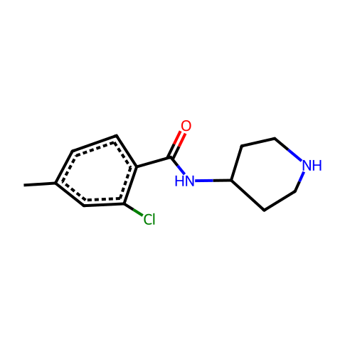 Cc1ccc(C(=O)NC2CCNCC2)c(Cl)c1